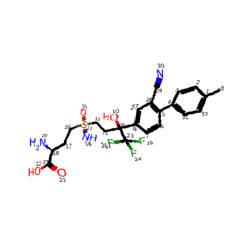 Cc1ccc(-c2ccc(C(O)(CCS(=N)(=O)CC[C@H](N)C(=O)O)C(F)(F)F)cc2C#N)cc1